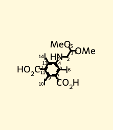 COC(CNc1c(I)c(C(=O)O)c(I)c(C(=O)O)c1I)OC